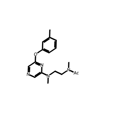 CC(=O)N(C)CCN(C)c1cncc(Oc2cccc(C)c2)n1